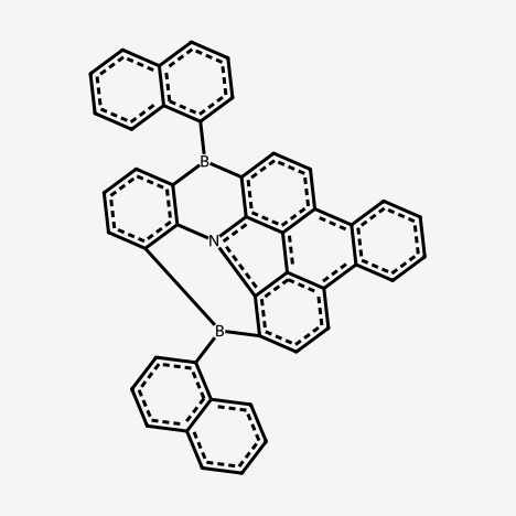 c1cc2c3c(c1)B(c1cccc4ccccc14)c1ccc4c5ccccc5c5ccc(c6c5c4c1n6-3)B2c1cccc2ccccc12